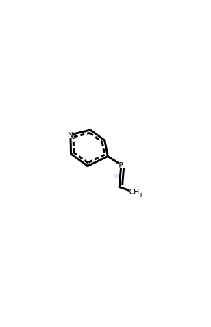 C/C=P/c1ccncc1